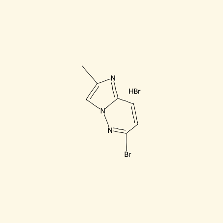 Br.Cc1cn2nc(Br)ccc2n1